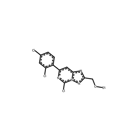 CCOCc1nc2cc(-c3ccc(Cl)cc3Cl)nc(Cl)n2n1